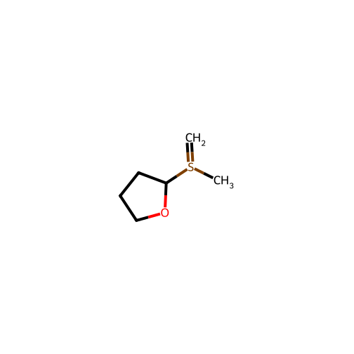 C=S(C)C1CCCO1